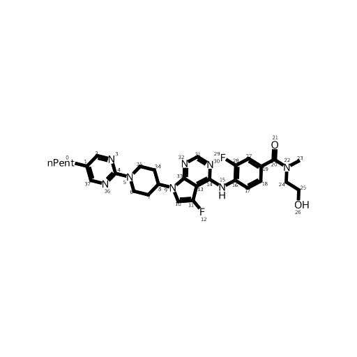 CCCCCc1cnc(N2CCC(n3cc(F)c4c(Nc5ccc(C(=O)N(C)CCO)cc5F)ncnc43)CC2)nc1